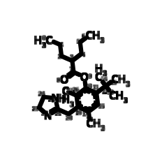 CCCC(CCC)C(=O)Oc1c(C(C)(C)C)cc(C)c(CC2=NCCN2)c1C